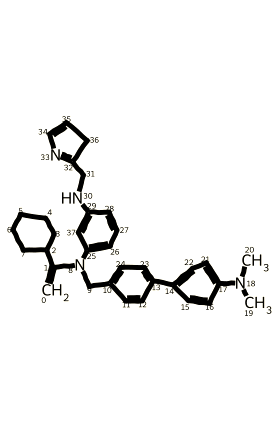 C=C(C1CCCCC1)N(Cc1ccc(-c2ccc(N(C)C)cc2)cc1)c1cccc(NCC2=NC=CC2)c1